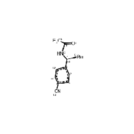 CCC(C)[C@H](NC(=O)C(F)(F)F)c1ccc(C#N)cc1